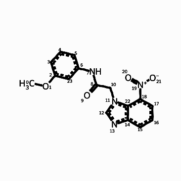 COc1cccc(NC(=O)Cn2cnc3cccc([N+](=O)[O-])c32)c1